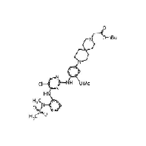 CCCCOC(=O)CN1CCC2(CC1)CCN(c1ccc(Nc3ncc(Cl)c(Nc4ccccc4N(C)S(C)(=O)=O)n3)c(OC)c1)CC2